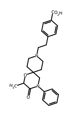 CC1OC2(CCN(CCc3ccc(C(=O)O)cc3)CC2)CN(c2ccccc2)C1=O